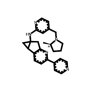 C[C@@H]1CCCN1Cc1ccnc(NC23Cc4nc(-c5ccncc5)ccc4C2C3)c1